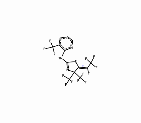 F/C(=C1/SC(Nc2ncccc2C(F)(F)F)=NC1(C(F)(F)F)C(F)(F)F)C(F)(F)F